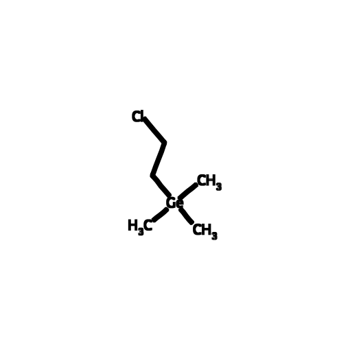 [CH3][Ge]([CH3])([CH3])[CH2]CCl